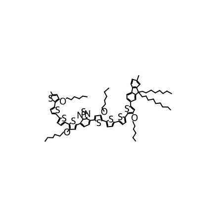 CCCCCCCCCC1(CCCCCCCC)c2cc(C)ccc2-c2ccc(-c3cc(OCCCCCC)c(-c4ccc(-c5ccc(-c6sc(-c7ccc(-c8cc(OCCCCCC)c(-c9ccc(-c%10ccc(-c%11sc(C)cc%11OCCCCCC)s%10)s9)s8)c8nsnc78)cc6OCCCCCC)s5)s4)s3)cc21